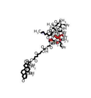 C/C=C/C[C@@H](C)[C@@H](OC(=O)CN(C)C(=O)CNC(=O)OCCC(=O)CCC(=O)OCC(=O)[C@@]1(O)[C@H](C)CC2C3CCC4=CC(=O)C=C[C@]4(C)[C@@]3(F)[C@@H](O)C[C@@]21C)[C@@H](C(=O)N[C@@H](CC)C(=O)N(C)CC(=O)N(C)[C@@H](CC(C)C)C(=O)N[C@H](C(=O)N(C)[C@@H](CC(C)C)C(N)=O)C(C)C)N(C)C(=O)[C@H](C(C)C)N(C)C(=O)[C@H](CC(C)C)N(C)C(=O)CCC(C)C